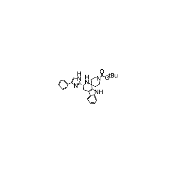 CC(C)(C)OC(=O)N1CCC2(CC1)N[C@@H](c1nc(-c3ccccc3)c[nH]1)Cc1c2[nH]c2ccccc12